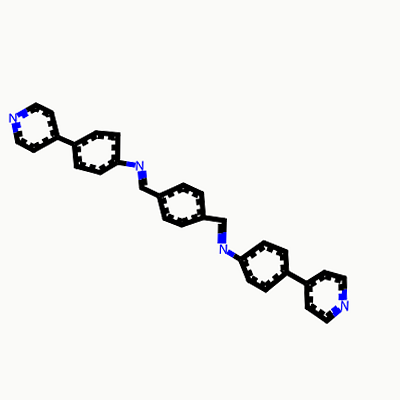 C(=N\c1ccc(-c2ccncc2)cc1)/c1ccc(/C=N/c2ccc(-c3ccncc3)cc2)cc1